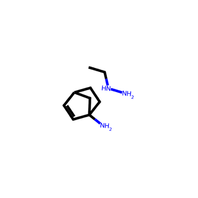 CCNN.NC12C=CC(CC1)C2